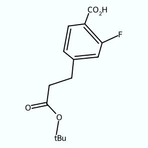 CC(C)(C)OC(=O)CCc1ccc(C(=O)O)c(F)c1